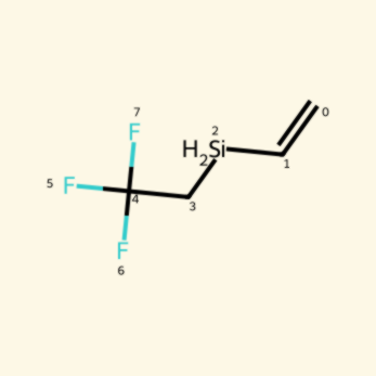 C=C[SiH2]CC(F)(F)F